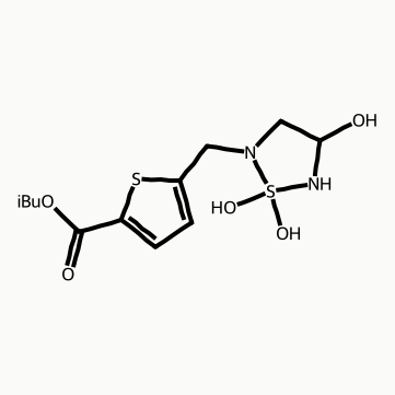 CC(C)COC(=O)c1ccc(CN2CC(O)NS2(O)O)s1